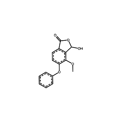 COc1c(Oc2ccccc2)ccc2c1C(O)OC2=O